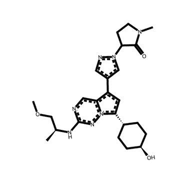 COC[C@H](C)Nc1ncc2c(-c3cnn(C4CCN(C)C4=O)c3)cc([C@H]3CC[C@H](O)CC3)n2n1